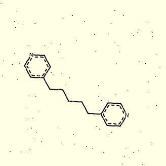 [CH](CCc1ccncc1)CCc1ccncc1